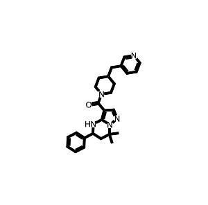 CC1(C)CC(c2ccccc2)Nc2c(C(=O)N3CCC(Cc4cccnc4)CC3)cnn21